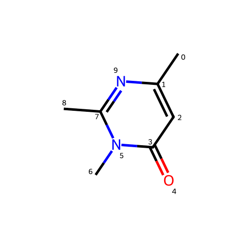 Cc1cc(=O)n(C)c(C)n1